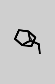 CCN1C2CCC1CC2